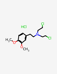 COc1ccc(CCN(CCCl)CCCl)cc1OC.Cl